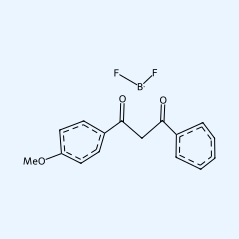 COc1ccc(C(=O)CC(=O)c2ccccc2)cc1.F[B]F